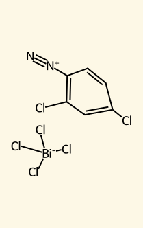 N#[N+]c1ccc(Cl)cc1Cl.[Cl][Bi-]([Cl])([Cl])[Cl]